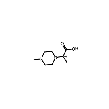 C[C@H](C(=O)O)N1CCN(C)CC1